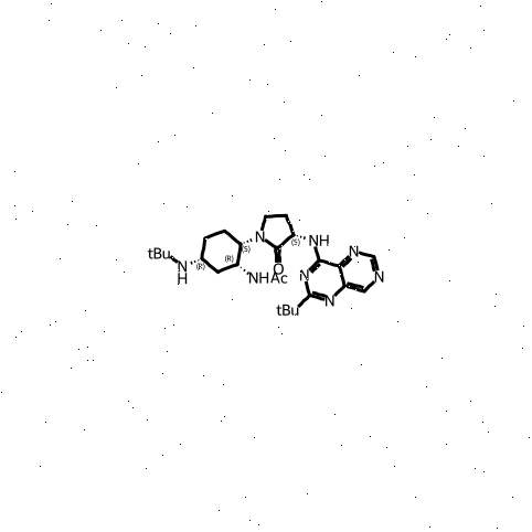 CC(=O)N[C@@H]1C[C@H](NC(C)(C)C)CC[C@@H]1N1CC[C@H](Nc2nc(C(C)(C)C)nc3cncnc23)C1=O